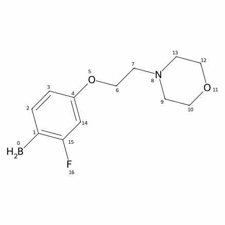 Bc1ccc(OCCN2CCOCC2)cc1F